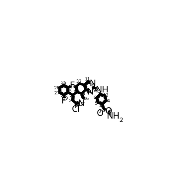 NOC(=O)c1ccc(Nc2ncc3c(n2)C2=CN=C(Cl)C=C(c4c(F)cccc4F)C2=CC3)cc1